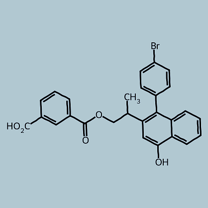 CC(COC(=O)c1cccc(C(=O)O)c1)c1cc(O)c2ccccc2c1-c1ccc(Br)cc1